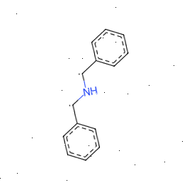 [CH](N[CH]c1ccccc1)c1ccccc1